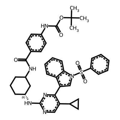 CC(C)(C)OC(=O)Nc1ccc(C(=O)NC2CCC[C@@H](Nc3ncc(C4CC4)c(-c4cn(S(=O)(=O)c5ccccc5)c5ccccc45)n3)C2)cc1